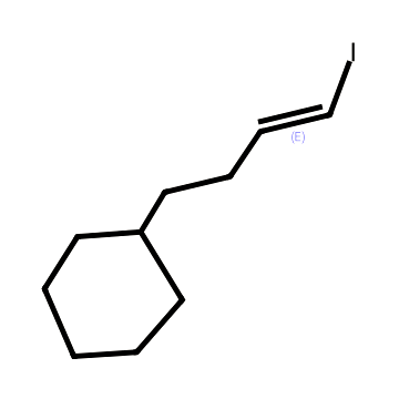 I/C=C/CCC1CCCCC1